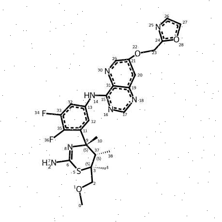 COC[C@@]1(C)SC(N)=N[C@](C)(c2cc(Nc3ncnc4cc(OCc5ncco5)cnc34)cc(F)c2F)[C@@H]1C